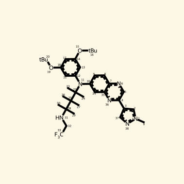 Cn1cc(-c2cnc3ccc(N(c4cc(OC(C)(C)C)cc(OC(C)(C)C)c4)C(C)(C)C(C)(C)C(C)(C)NCC(F)(F)F)cc3n2)cn1